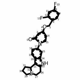 O=c1cc(OCc2ccc(F)cc2F)ccn1-c1ccc2c3c([nH]c2c1)CCN1CCCC31